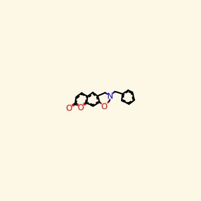 O=c1ccc2cc3c(cc2o1)OCN(Cc1ccccc1)C3